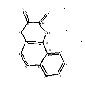 O=C1Cc2ccc3ccccc3c2OC1=O